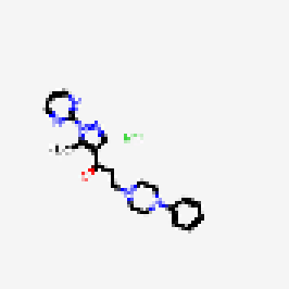 Cc1c(C(=O)CCN2CCN(c3ccccc3)CC2)cnn1-c1ncccn1.Cl